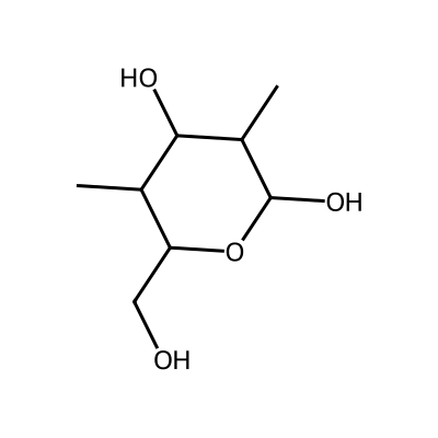 CC1C(O)OC(CO)C(C)C1O